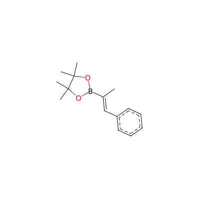 CC(=Cc1ccccc1)B1OC(C)(C)C(C)(C)O1